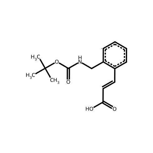 CC(C)(C)OC(=O)NCc1[c]cccc1/C=C/C(=O)O